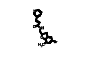 Cc1cc(Br)cc2c1OC(CNC(=O)/C=C/c1cccnc1)C2